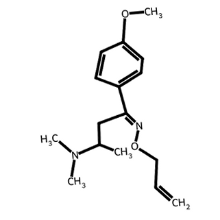 C=CCON=C(CC(C)N(C)C)c1ccc(OC)cc1